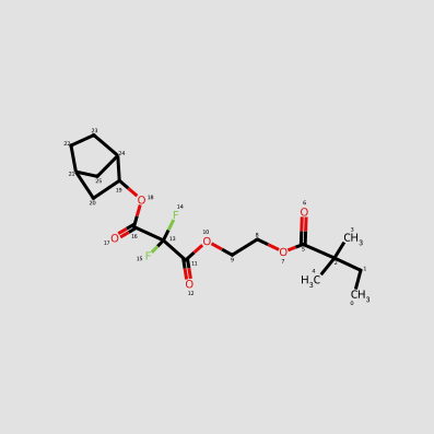 CCC(C)(C)C(=O)OCCOC(=O)C(F)(F)C(=O)OC1CC2CCC1C2